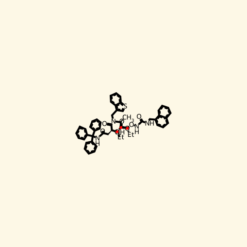 CCOC(OCC)[C@H](C)N(Cc1csc2ccccc12)C(=O)[C@H](CC(=O)NC(c1ccccc1)(c1ccccc1)c1ccccc1)NC(=O)CONC(=O)NCc1cccc2ccccc12